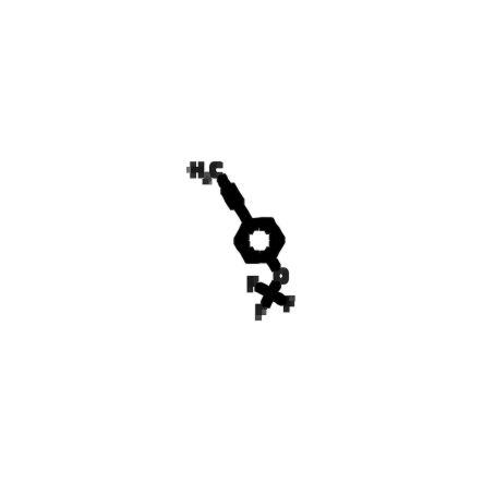 [CH2]C#Cc1ccc(OC(F)(F)F)cc1